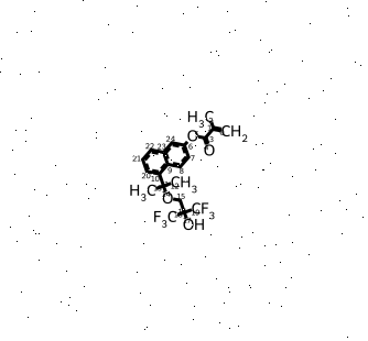 C=C(C)C(=O)Oc1ccc2c(C(C)(C)OCC(O)(C(F)(F)F)C(F)(F)F)cccc2c1